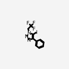 FC(F)(F)Cn1nnc(-c2ccccc2)c1I